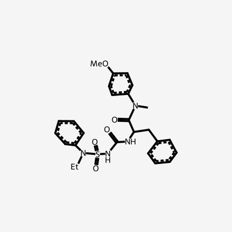 CCN(c1ccccc1)S(=O)(=O)NC(=O)NC(Cc1ccccc1)C(=O)N(C)c1ccc(OC)cc1